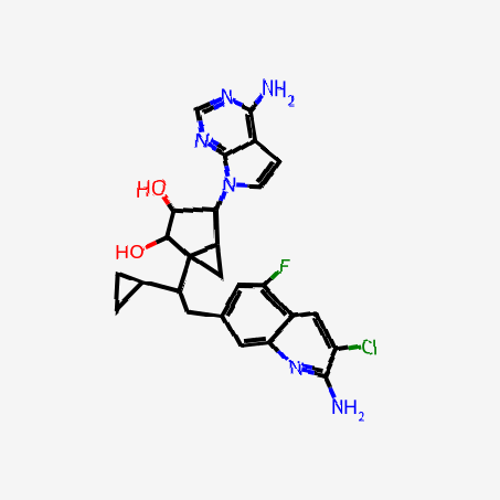 Nc1nc2cc(CC(C3CC3)C34CC3C(n3ccc5c(N)ncnc53)C(O)C4O)cc(F)c2cc1Cl